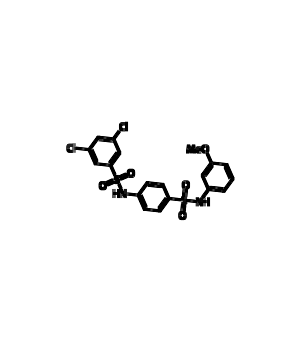 COc1cccc(NS(=O)(=O)c2ccc(NS(=O)(=O)c3cc(Cl)cc(Cl)c3)cc2)c1